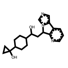 OC(CC1c2ncccc2-c2cncn21)C1CCC(C2(O)CC2)CC1